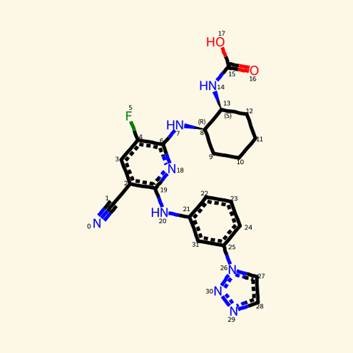 N#Cc1cc(F)c(N[C@@H]2CCCC[C@@H]2NC(=O)O)nc1Nc1cccc(-n2ccnn2)c1